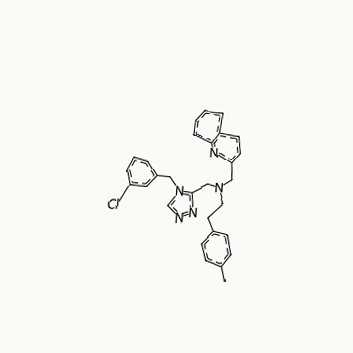 Cc1ccc(CCN(Cc2ccc3ccccc3n2)Cc2nncn2Cc2cccc(Cl)c2)cc1